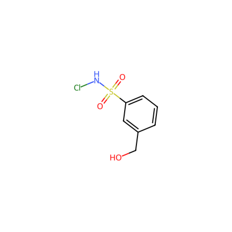 O=S(=O)(NCl)c1cccc(CO)c1